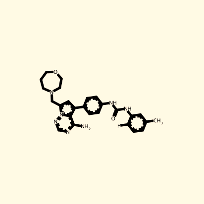 Cc1ccc(F)c(NC(=O)Nc2ccc(-c3cc(CN4CCCOCC4)n4ncnc(N)c34)cc2)c1